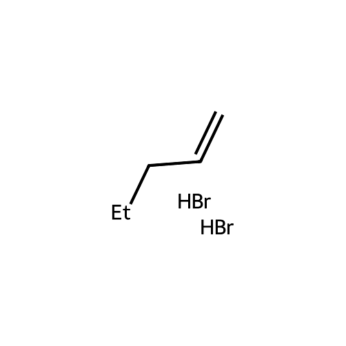 Br.Br.C=CCCC